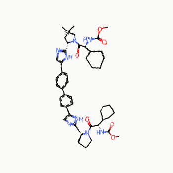 COC(=O)N[C@H](C(=O)N1CCC[C@H]1c1ncc(-c2ccc(-c3ccc(-c4cnc([C@@H]5C[Si](C)(C)CN5C(=O)[C@@H](NC(=O)OC)C5CCCCC5)[nH]4)cc3)cc2)[nH]1)C1CCCCC1